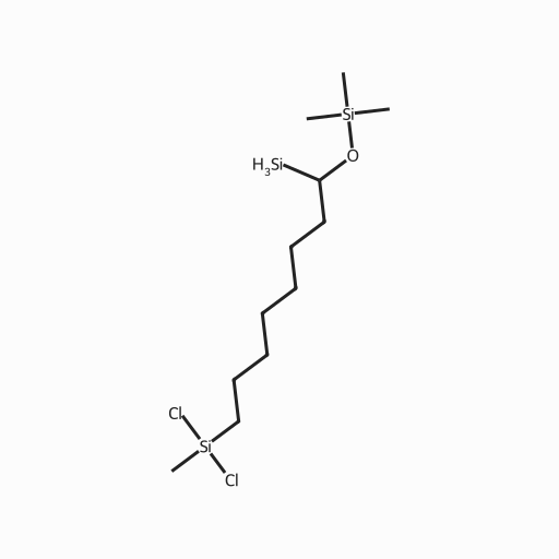 C[Si](Cl)(Cl)CCCCCCCC([SiH3])O[Si](C)(C)C